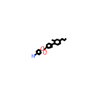 CCCC1CCC(c2ccc(C(=O)Oc3ccc(C#N)cc3)cc2)C(C)C1